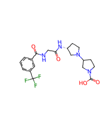 O=C(CNC(=O)c1cccc(C(F)(F)F)c1)N[C@@H]1CCN(C2CCN(C(=O)O)C2)C1